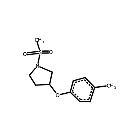 Cc1ccc(OC2CCN(S(C)(=O)=O)C2)cc1